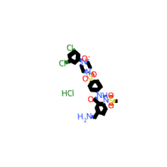 CN(c1ccc(CN)cc1C(=O)Nc1ccc(S(=O)(=O)N2CC[N+]([O-])(c3cc(Cl)cc(Cl)c3)CC2)cc1)S(C)(=O)=O.Cl